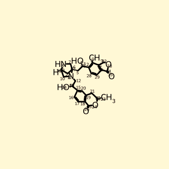 Cc1c([C@H](O)C[C@@]23CN[C@H](CN2C[C@H](O)c2ccc4c(c2)C[C@@H](C)OC4=O)C3)ccc2c1COC2=O